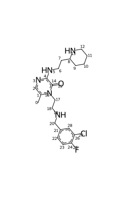 Cc1cnc(NCCC2CCCCN2)c(=O)n1CCNCc1ccc(F)c(Cl)c1